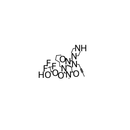 CC#CCn1c(N2CCNCC2)nc2c1c(=O)n(C)c(=O)n2CC1CCCO1.O=C(O)C(F)(F)F